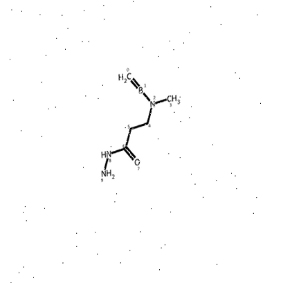 C=BN(C)CCC(=O)NN